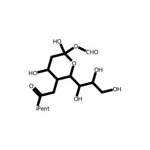 CCCC(C)C(=O)CC1C(O)CC(O)(OC=O)OC1C(O)C(O)CO